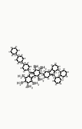 Bc1c(B)c(B)c2c(c1B)c1c(B)c(-c3ccc4c(c3)c3cccc(-c5ccccc5)c3n4-c3ccccc3)c(B)c(B)c1n2-c1ccc(-c2ccc(-c3ccccc3)cc2)cc1